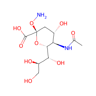 CC(=O)N[C@H]1[C@H]([C@H](O)[C@H](O)CO)O[C@](ON)(C(=O)O)C[C@@H]1O